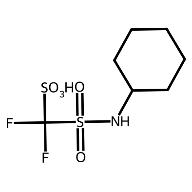 O=S(=O)(O)C(F)(F)S(=O)(=O)NC1CCCCC1